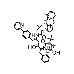 Cc1cccc(CN2CCN([C@H](C(=O)N[C@H](Cc3ccc(-c4ccccn4)cc3)C[C@H](O)[C@H](Cc3ccccc3)NC(=O)[C@@H](N(C)C(=O)O)C(C)(C)C)C(C)(C)C)C2=O)n1